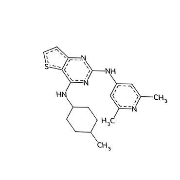 Cc1cc(Nc2nc(NC3CCC(C)CC3)c3sccc3n2)cc(C)n1